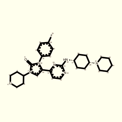 O=c1n(C2CCOCC2)cc(-c2ccnc(N[C@H]3CC[C@@H](N4CCCCC4)CC3)n2)n1-c1ccc(F)cc1